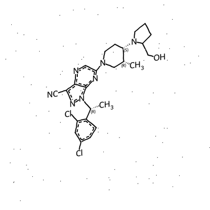 C[C@@H]1CN(c2cnc3c(C#N)nn([C@H](C)c4ccc(Cl)cc4Cl)c3n2)CC[C@@H]1N1CCCC1CO